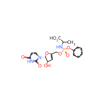 CC(N[P@](=O)(OCC1=C[C@@H](O)[C@H](n2ccc(=O)[nH]c2=O)O1)Oc1ccccc1)C(=O)O